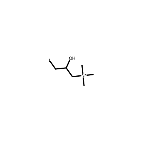 C[N+](C)(C)CC(O)CI